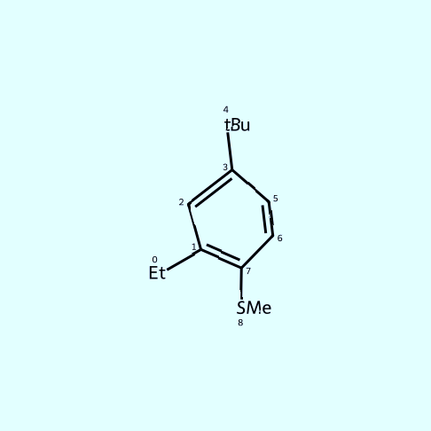 CCc1cc(C(C)(C)C)ccc1SC